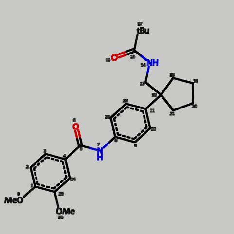 COc1ccc(C(=O)Nc2ccc(C3(CNC(=O)C(C)(C)C)CCCC3)cc2)cc1OC